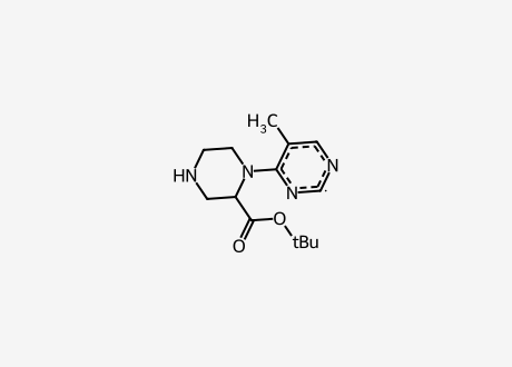 Cc1cn[c]nc1N1CCNCC1C(=O)OC(C)(C)C